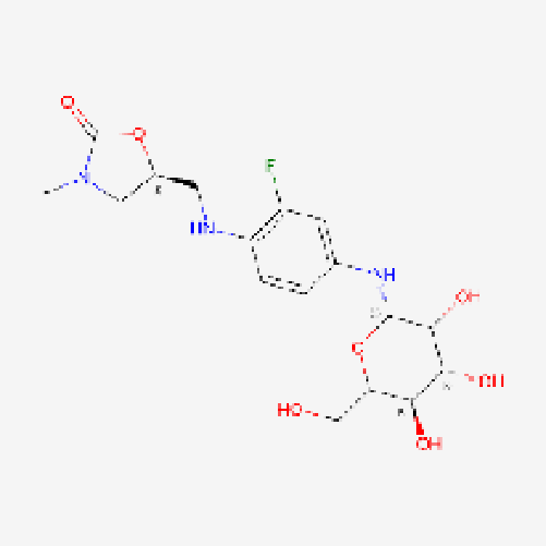 CN1C[C@H](CNc2ccc(N[C@H]3OC(CO)[C@H](O)[C@@H](O)C3O)cc2F)OC1=O